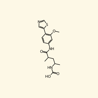 COc1cc(NC(=O)C(C)CC(C)NC(=O)O)ccc1-c1cncs1